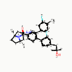 CC(C)N[C@@H]1C[C@H]2CC[C@@H](C1)N2C(=O)c1ccc(-c2ccc(CC(C)(C)O)cc2F)c(-c2ccc(C#N)c(F)c2)c1